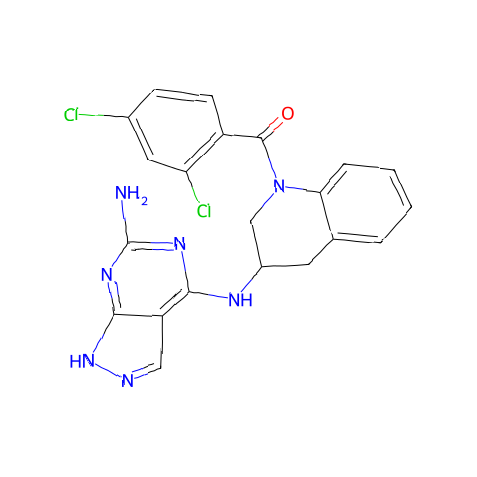 Nc1nc(NC2Cc3ccccc3N(C(=O)c3ccc(Cl)cc3Cl)C2)c2cn[nH]c2n1